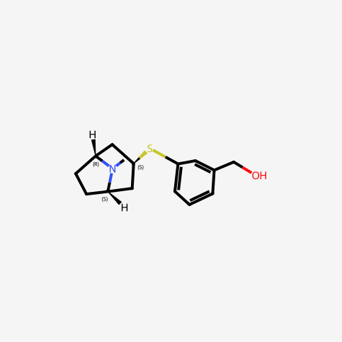 CN1[C@@H]2CC[C@H]1C[C@H](Sc1cccc(CO)c1)C2